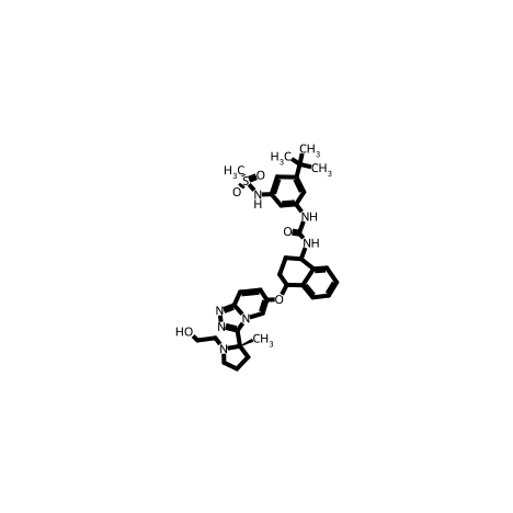 CC(C)(C)c1cc(NC(=O)NC2CCC(Oc3ccc4nnc([C@]5(C)CCCN5CCO)n4c3)c3ccccc32)cc(NS(C)(=O)=O)c1